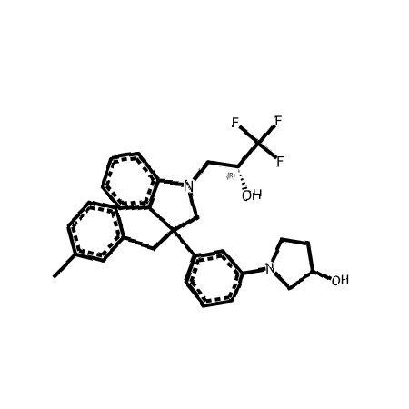 Cc1cccc(CC2(c3cccc(N4CCC(O)C4)c3)CN(C[C@@H](O)C(F)(F)F)c3ccccc32)c1